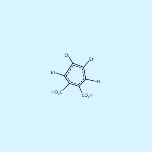 CCc1c(CC)c(CC)c(C(=O)O)c(C(=O)O)c1CC